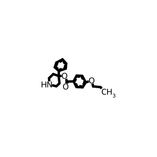 CCCOc1ccc(C(=O)OC2(c3ccccc3)CCNCC2)cc1